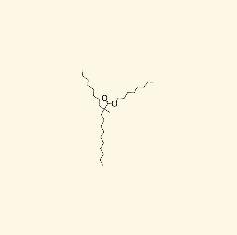 CCCCCCCCCCC(C)(CCCCCCCC)C(=O)OCCCCCCCC